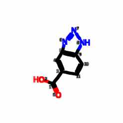 O=C(O)c1[c]c2nn[nH]c2cc1